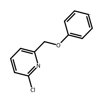 Clc1cccc(COc2cc[c]cc2)n1